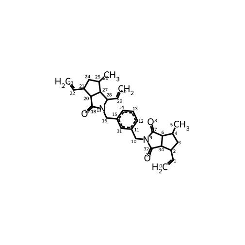 C=CC1CC(C)C2C(=O)N(Cc3cccc(CN4C(=O)C5C(C=C)CC(C)C5C4C=C)c3)C(=O)C12